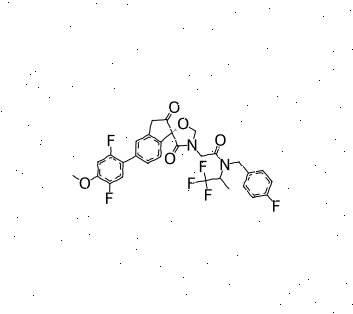 COc1cc(F)c(-c2ccc3c(c2)CC(=O)[C@]32OCN(CC(=O)N(Cc3ccc(F)cc3)C(C)C(F)(F)F)C2=O)cc1F